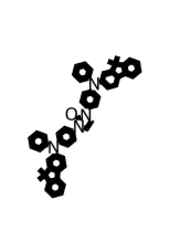 CC1(C)C2=CC(N(c3ccccc3)c3ccc(N4CCN(c5ccc(N(c6ccccc6)c6ccc7c(c6)C(C)(C)c6ccccc6-7)cc5)C4=O)cc3)=CCC2c2ccccc21